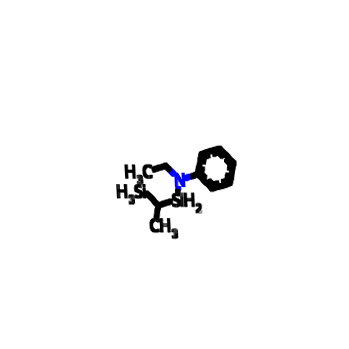 CCN([SiH2]C(C)[SiH3])c1ccccc1